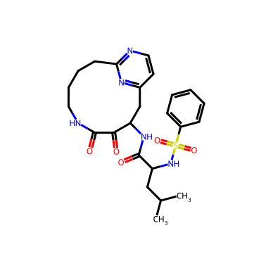 CC(C)CC(NS(=O)(=O)c1ccccc1)C(=O)NC1Cc2ccnc(n2)CCCCNC(=O)C1=O